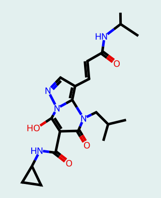 CC(C)Cn1c(=O)c(C(=O)NC2CC2)c(O)n2ncc(/C=C/C(=O)NC(C)C)c12